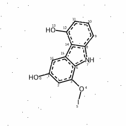 Oc1cc(OI)c2[nH]c3cccc(O)c3c2c1